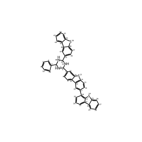 c1ccc(C2NC(c3ccc4c(c3)sc3ccc(-c5cccc6c5sc5ccccc56)cc34)NC(c3ccc4sc5ccccc5c4c3)N2)cc1